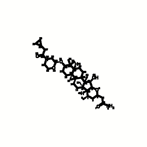 C[C@@H]1CC(CC(N)=O)OC2[C@H]1[C@@]1(C)CC[C@@]34C[C@@]35CCC(O[C@H]3CN(C(=O)CC6CC6)CCO3)C(C)(C)[C@@H]5CCC4[C@]1(C)[C@H]2O